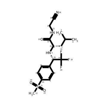 CC(C)C[C@H](N[C@@H](c1ccc(S(C)(=O)=O)cc1)C(F)(F)F)C(=O)NCC#N